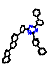 c1ccc(-c2ccc(-c3nc(-c4cccc(-c5ccccc5)c4)nc(-c4cccc(-c5ccc6cc(-c7ccc8ccccc8c7)ccc6c5)c4)n3)cc2)cc1